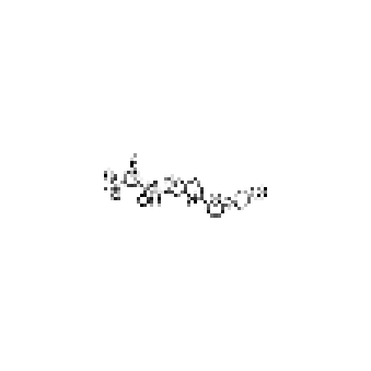 CS(=O)(=O)c1cc(F)cc(C(=O)NCc2cc3nc(-c4cccc(N5CCC6(CC5)COC6)n4)ccc3cn2)c1